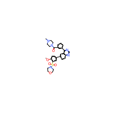 COc1ccc(-c2ccc3ncnc(-c4cccc(C(=O)N5CCN(C)CC5)c4)c3c2)cc1S(=O)(=O)N1CCOCC1